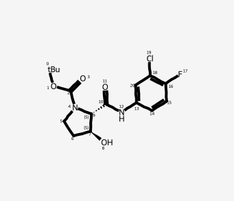 CC(C)(C)OC(=O)N1CC[C@H](O)[C@H]1C(=O)Nc1ccc(F)c(Cl)c1